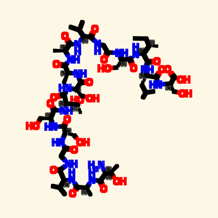 CC[C@H](C)[C@H](NC(=O)[C@H](CO)NC(=O)CNC(=O)[C@@H](NC(=O)[C@H](C)NC(=O)[C@H](C)NC(=O)[C@H](CO)NC(=O)[C@@H](NC(=O)[C@H](CO)NC(=O)[C@H](CO)NC(=O)CNC(=O)[C@@H](NC(=O)[C@H](C)NC(=O)[C@@H](N)[C@@H](C)O)C(C)C)[C@@H](C)O)C(C)C)C(=O)N[C@@H](CC(C)C)C(=O)N[C@@H](CO)C(=O)O